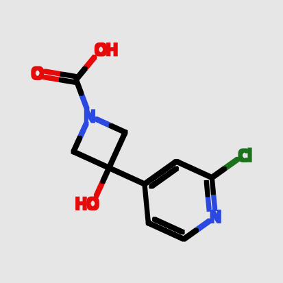 O=C(O)N1CC(O)(c2ccnc(Cl)c2)C1